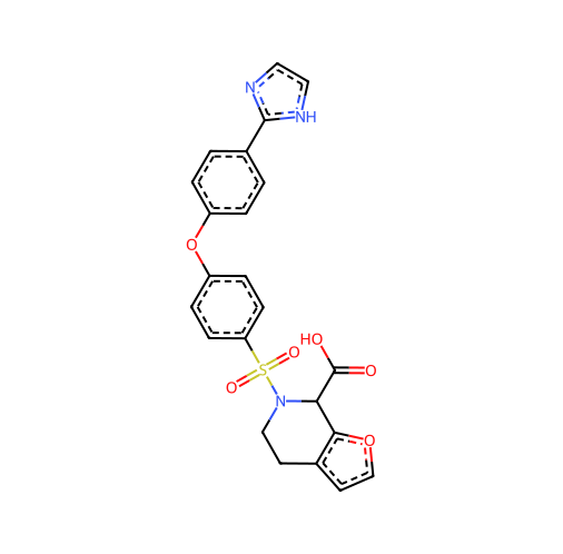 O=C(O)C1c2occc2CCN1S(=O)(=O)c1ccc(Oc2ccc(-c3ncc[nH]3)cc2)cc1